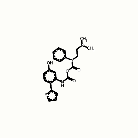 CN(C)CCN(C(=O)OC(=O)Nc1cc(O)ccc1-c1cccs1)c1ccccc1